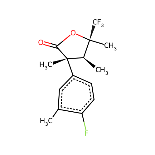 Cc1cc([C@]2(C)C(=O)O[C@@](C)(C(F)(F)F)[C@H]2C)ccc1F